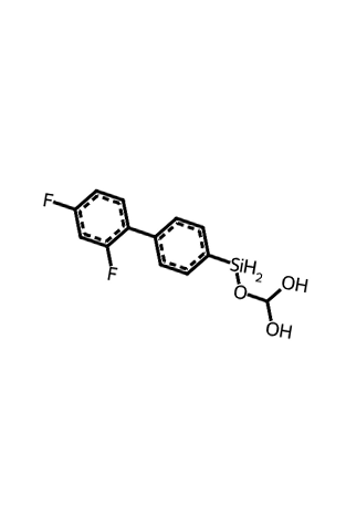 OC(O)O[SiH2]c1ccc(-c2ccc(F)cc2F)cc1